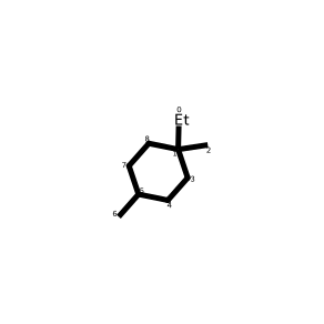 CCC1(C)CCC(C)CC1